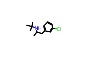 CC(Cc1cccc(Cl)c1)NC(C)(C)C